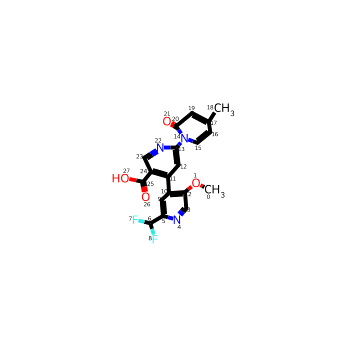 COc1cnc(C(F)F)cc1-c1cc(-n2ccc(C)cc2=O)ncc1C(=O)O